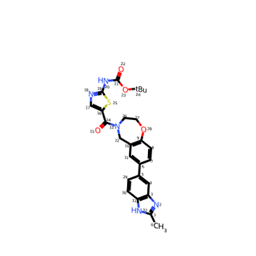 Cc1nc2cc(-c3ccc4c(c3)CN(C(=O)c3cnc(NC(=O)OC(C)(C)C)s3)CCO4)ccc2[nH]1